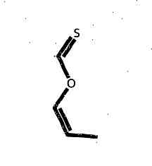 C/C=C\O[C]=S